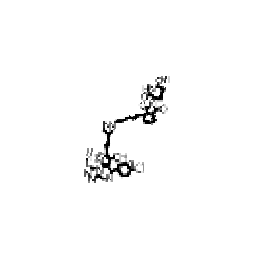 Cc1c(C#Cc2cnn(CCC/C=C/c3cccc4c3C(=O)N(C3CCC(O)NC3=O)C4=O)c2)sc2c1C(C1=CCC(Cl)C=C1)=NCc1nnc(C)n1-2